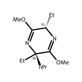 CCC[C@@]1(CC)N=C(OC)[C@H](CC)N=C1OC